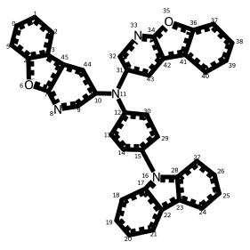 c1ccc2c(c1)oc1ncc(N(c3ccc(-n4c5ccccc5c5ccccc54)cc3)c3cnc4oc5ccccc5c4c3)cc12